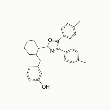 Cc1ccc(-c2nc(C3CCCCC3Cc3cccc(O)c3)oc2-c2ccc(C)cc2)cc1